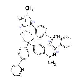 C=C/C=C(\C=C/C)c1ccc(/C(C)=N/C(=N\C(=C)c2ccc(C3(c4ccc(C5=CCCC=N5)cc4)CCCCC3)cc2)C2=CCCC=C2)cc1